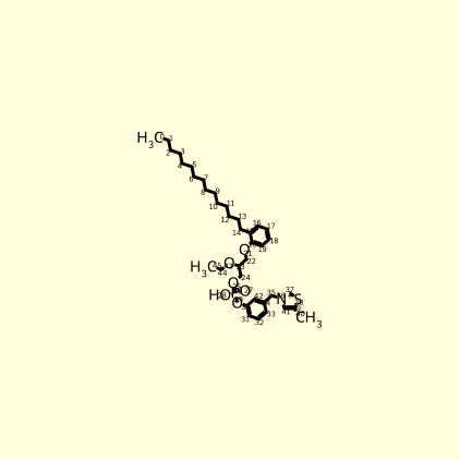 CCCCCCCCCCCCCCCc1ccccc1OCC(COP(=O)(O)Oc1cccc(C[n+]2csc(C)c2)c1)OCC